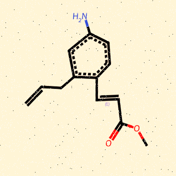 C=CCc1cc(N)ccc1/C=C/C(=O)OC